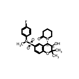 CN(c1ccc(F)cc1)S(=O)(=O)c1ccc2c(c1)[C@H](N1CCCCC1=O)[C@@H](O)C(C)(C)O2